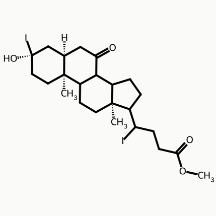 COC(=O)CCC(I)C1CCC2C3C(=O)C[C@@H]4C[C@](O)(I)CC[C@]4(C)C3CC[C@]12C